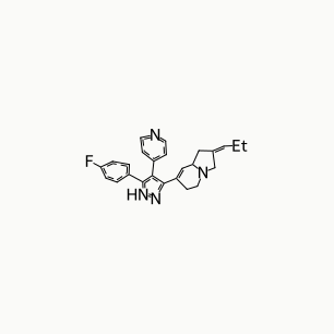 CCC=C1CC2C=C(c3n[nH]c(-c4ccc(F)cc4)c3-c3ccncc3)CCN2C1